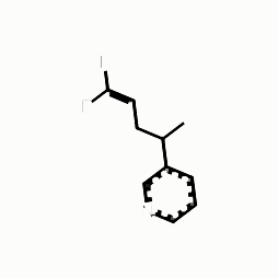 CC(CC=C(F)F)c1cccnc1